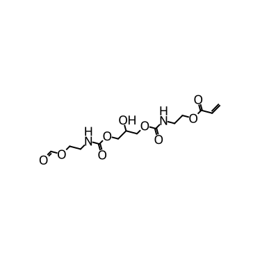 C=CC(=O)OCCNC(=O)OCC(O)COC(=O)NCCOC=O